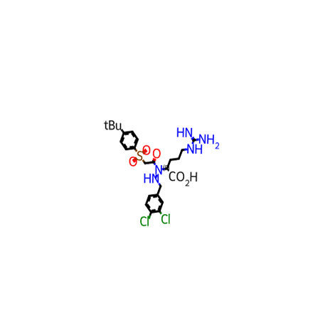 CC(C)(C)c1ccc(S(=O)(=O)CC(=O)N(NCc2ccc(Cl)c(Cl)c2)[C@@H](CCCNC(=N)N)C(=O)O)cc1